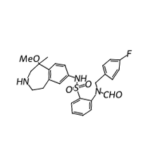 COC1(C)CNCCc2cc(NS(=O)(=O)c3ccccc3N(C=O)Cc3ccc(F)cc3)ccc21